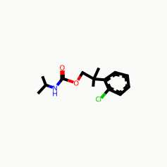 CC(C)NC(=O)OCC(C)(C)c1ccccc1Cl